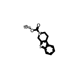 CC(C)(C)OC(=O)N1CCc2c(sc3ccccc23)C1